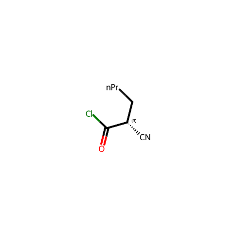 CCCC[C@H](C#N)C(=O)Cl